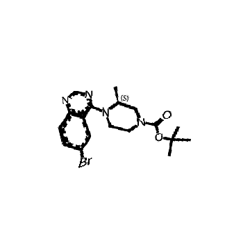 C[C@H]1CN(C(=O)OC(C)(C)C)CCN1c1ncnc2ccc(Br)cc12